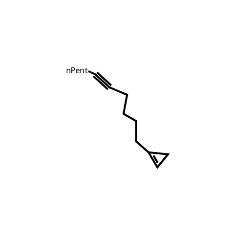 CCCCCC#CCCCCC1=CC1